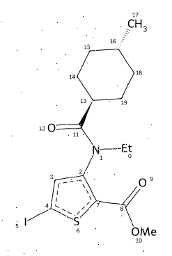 CCN(c1cc(I)sc1C(=O)OC)C(=O)[C@H]1CC[C@H](C)CC1